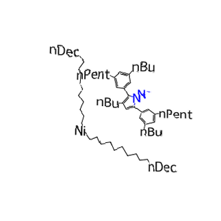 CCCCCCCCCCCCCCCCCCC[CH2][Ni][CH2]CCCCCCCCCCCCCCCCCCC.CCCCCc1cc(CCCC)cc(C2=CC(CCCC)=C(c3cc(CCCC)cc(CCCCC)c3)[N+]2=[N-])c1